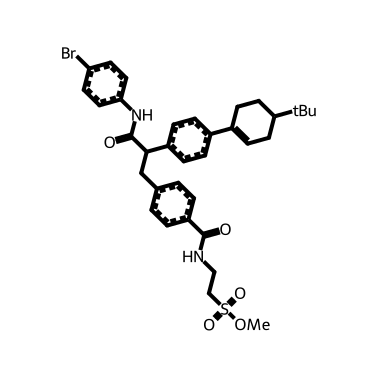 COS(=O)(=O)CCNC(=O)c1ccc(CC(C(=O)Nc2ccc(Br)cc2)c2ccc(C3=CCC(C(C)(C)C)CC3)cc2)cc1